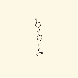 CCOC(=O)CCNCc1ccc(OCc2ccc(F)cc2)cc1